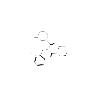 N#Cc1ccccc1CN1C(=O)N2CCOCC2N=C1N1CCCC(N)C1